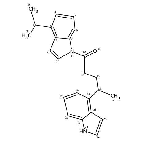 CC(C)c1cccc2c1ccn2C(=O)CCC(C)c1cccc2[nH]ccc12